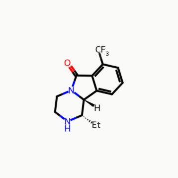 CC[C@@H]1NCCN2C(=O)c3c(cccc3C(F)(F)F)[C@H]12